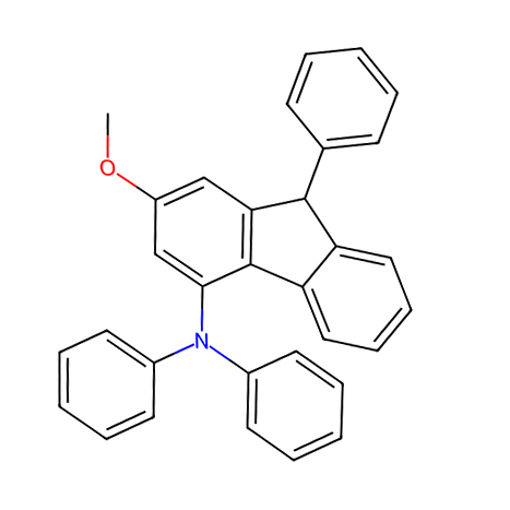 COc1cc2c(c(N(c3ccccc3)c3ccccc3)c1)-c1ccccc1C2c1ccccc1